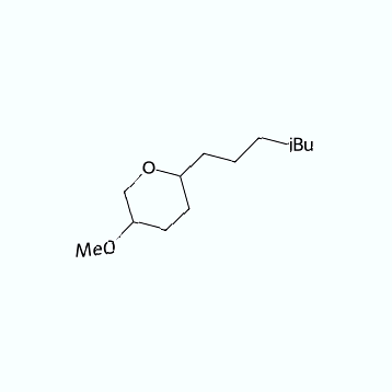 CCC(C)CCCC1CCC(OC)CO1